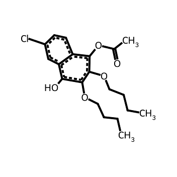 CCCCOc1c(OCCCC)c(OC(C)=O)c2ccc(Cl)cc2c1O